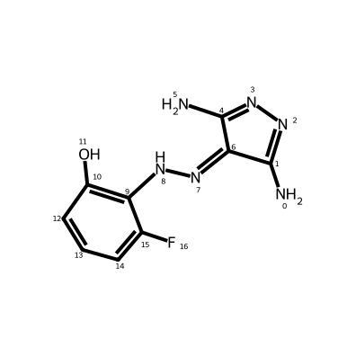 NC1=NN=C(N)C1=NNc1c(O)cccc1F